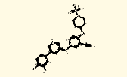 CS(=O)(=O)N1CCC(Oc2cnc(Oc3cncc(-c4ccc(F)c(F)c4)c3)cc2C#N)CC1